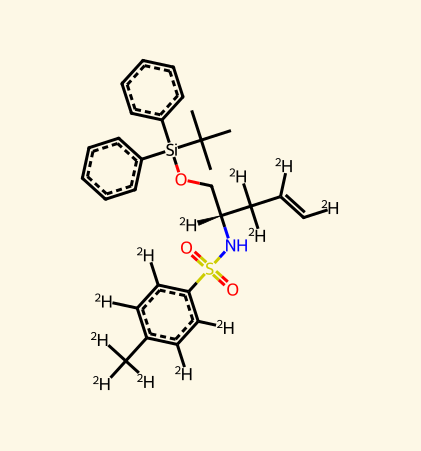 [2H]C=C([2H])C([2H])([2H])[C@@]([2H])(CO[Si](c1ccccc1)(c1ccccc1)C(C)(C)C)NS(=O)(=O)c1c([2H])c([2H])c(C([2H])([2H])[2H])c([2H])c1[2H]